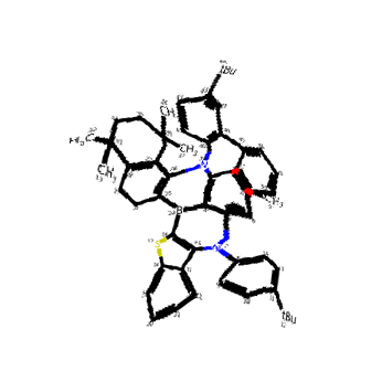 Cc1cc2c3c(c1)N(c1ccc(C(C)(C)C)cc1)c1c(sc4ccccc14)B3C1=C(C3=C(CC1)C(C)(C)CCC3(C)C)N2c1ccc(C(C)(C)C)cc1-c1ccccc1